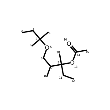 CCC(C)(C)OCC(C)C(C)(CC)OC(C)=O